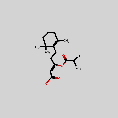 CC1=C(CCC(=CC(=O)O)OC(=O)C(C)C)C(C)(C)CCC1